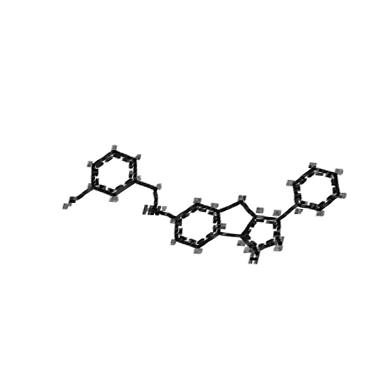 Fc1cccc(CNc2ccc3c(c2)Cc2c(-c4ccccc4)n[nH]c2-3)c1